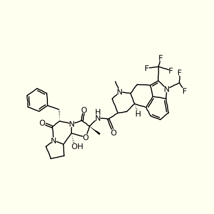 CN1CC(C(=O)N[C@]2(C)O[C@@]3(O)C4CCCN4C(=O)[C@H](Cc4ccccc4)N3C2=O)C[C@@H]2c3cccc4c3c(c(C(F)(F)F)n4C(F)F)CC21